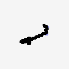 CC/C=C\C/C=C\CCCCCCCCOC(=O)OCC(C)(C)C